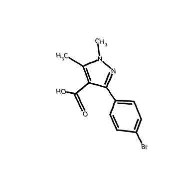 Cc1c(C(=O)O)c(-c2ccc(Br)cc2)nn1C